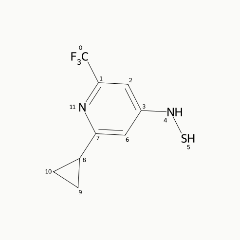 FC(F)(F)c1cc(NS)cc(C2CC2)n1